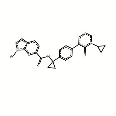 CC(C)n1ncc2cnc(C(=O)NC3(c4ccc(-c5cncn(C6CC6)c5=O)cc4)CC3)nc21